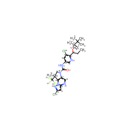 CCC(O[Si](C)(C)C(C)(C)C)c1ncc(NC(=O)N2C[C@@](C)(C(F)(F)F)c3c2cnc2cc(Cl)nn32)cc1Cl